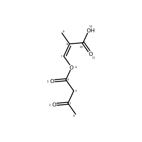 CC(=O)CC(=O)OC=C(C)C(=O)O